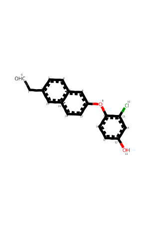 O=CCc1ccc2cc(Oc3ccc(O)cc3Cl)ccc2c1